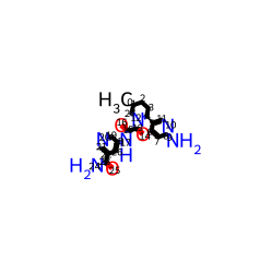 C[C@@H]1CC[C@@H](c2ccc(N)nc2)N(C(=O)C(=O)Nc2cncc(C(N)=O)c2)C1